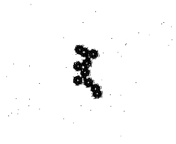 c1ccc(-c2cc(N(c3ccccc3)c3ccc(-c4ccc5ccccc5c4)cc3)ccc2-c2ccc(-n3c4ccccc4c4cc5ccccc5cc43)cc2)cc1